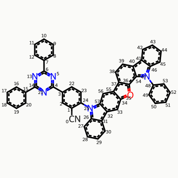 N#Cc1cc(-c2nc(-c3ccccc3)nc(-c3ccccc3)n2)ccc1-n1c2ccccc2c2cc3oc4c(ccc5c6ccccc6n(-c6ccccc6)c54)c3cc21